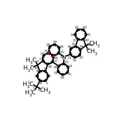 CC(C)(C)c1ccc2c(c1)C(C)(C)c1cccc(-c3ccccc3N(c3ccccc3)c3ccc4c(c3)-c3ccccc3C4(C)C)c1-2